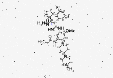 C=CC(=O)Nc1cc(NC(=N)/C=C(\NN)N2OCC[C@@H]2c2ccc(F)cc2F)c(OC)cc1N1CCC(N2CCN(C)CC2)CC1